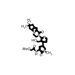 COCC(=O)Nc1cc(-c2ccnc(N3CCn4c(cc5c4CC(C)(C)C5)C3=O)c2CO)cn(C)c1=O